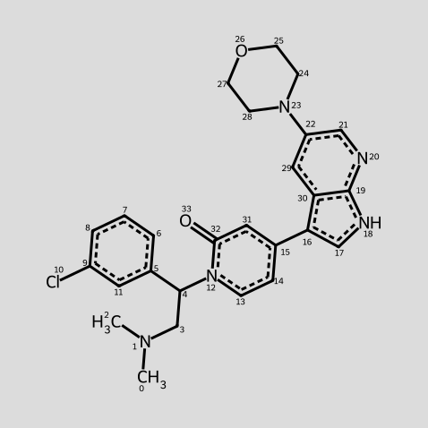 CN(C)CC(c1cccc(Cl)c1)n1ccc(-c2c[nH]c3ncc(N4CCOCC4)cc23)cc1=O